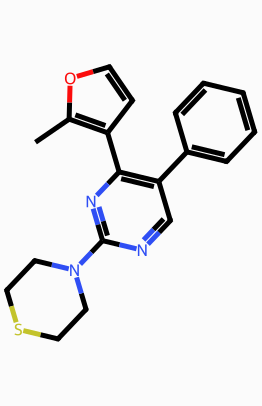 Cc1occc1-c1nc(N2CCSCC2)ncc1-c1ccccc1